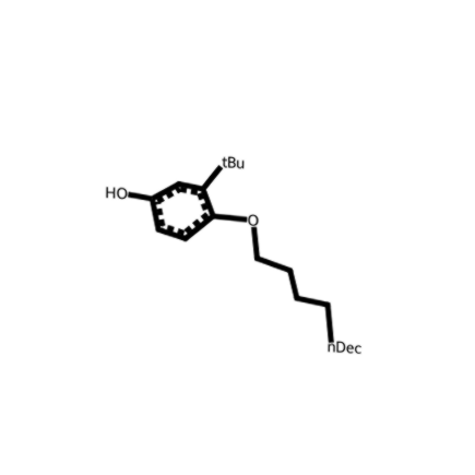 CCCCCCCCCCCCCCOc1ccc(O)cc1C(C)(C)C